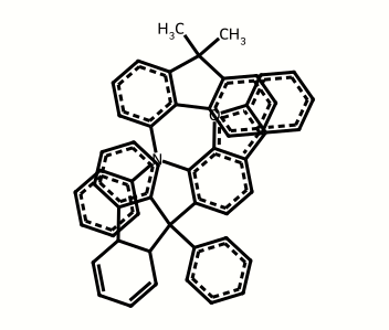 CC1(C)c2ccccc2-c2c(N(c3ccccc3)c3c(C4(c5ccccc5)c5ccccc5C5C=CC=CC54)ccc4c3oc3ccccc34)cccc21